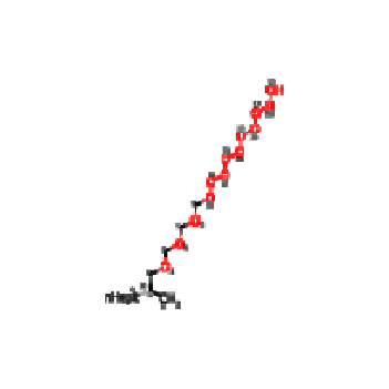 CCCCCCC[C@@H](C)COCOCOCOOOOOOOOOO